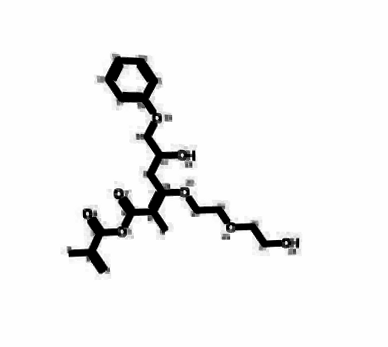 C=C(C)C(=O)OC(=O)C(C)=C(CC(O)COc1ccccc1)OCCOCCO